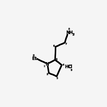 CCN1CCCC1CCN.Cl